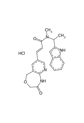 CC(c1cc2ccccc2[nH]1)N(C)C(=O)C=Cc1cnc2c(c1)COCC(=O)N2.Cl